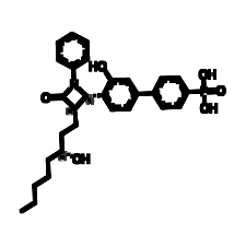 CCCCC[C@@H](O)CC[C@H]1C(=O)N(c2ccccc2)[C@@H]1c1ccc(-c2ccc(P(=O)(O)O)cc2)cc1O